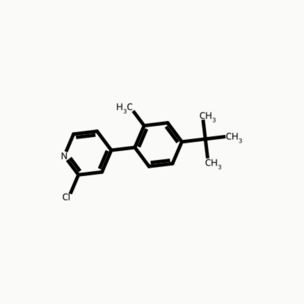 Cc1cc(C(C)(C)C)ccc1-c1ccnc(Cl)c1